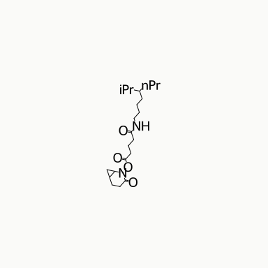 CCCC(CCCCNC(=O)CCCC(=O)ON1C(=O)CCC2CC21)C(C)C